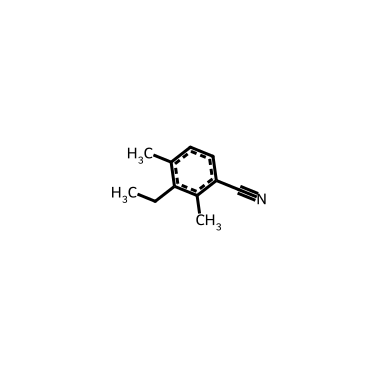 CCc1c(C)ccc(C#N)c1C